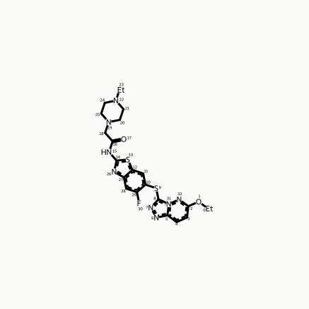 CCOc1ccc2nnc(Sc3cc4sc(NC(=O)CN5CCN(CC)CC5)nc4cc3F)n2n1